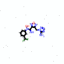 N=C(c1nonc1Cn1nnnc1N)N(O)c1cccc(C(F)F)c1